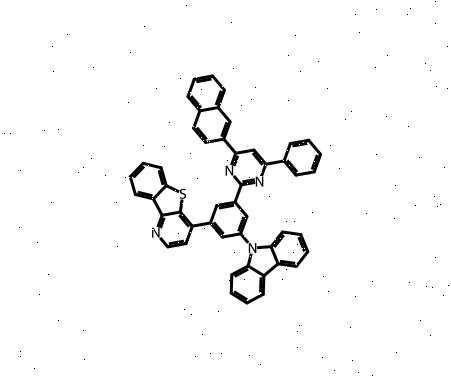 c1ccc(-c2cc(-c3ccc4ccccc4c3)nc(-c3cc(-c4ccnc5c4sc4ccccc45)cc(-n4c5ccccc5c5ccccc54)c3)n2)cc1